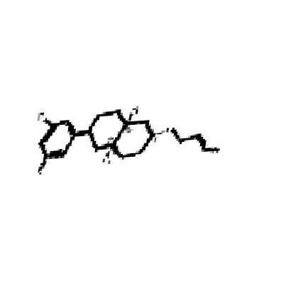 CC=CCC[C@@H]1CC[C@@H]2CC(c3cc(F)cc(F)c3)CC[C@@H]2C1